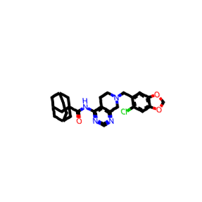 O=C(Nc1ncnc2c1CCN(Cc1cc3c(cc1Cl)OCO3)C2)C12CC3CC(CC(C3)C1)C2